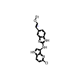 CCO/C=C/c1ccc2[nH]c(Nc3c[nH]c4ccc(Cl)nc34)nc2c1